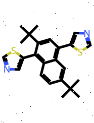 CC(C)(C)c1ccc2c(-c3cncs3)c(C(C)(C)C)cc(-c3cncs3)c2c1